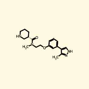 Cc1n[nH]cc1-c1c[c]cc(OCCN(C)C(=O)[C@H]2CCCNC2)c1